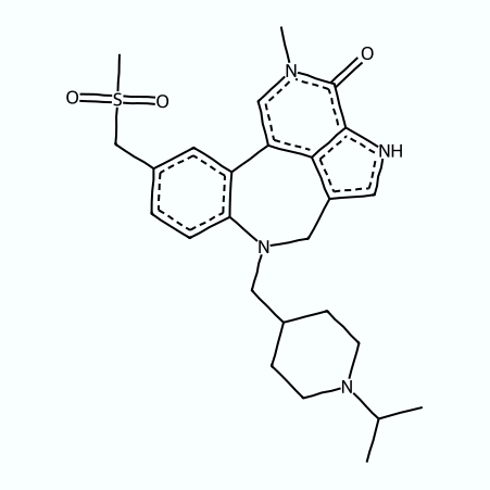 CC(C)N1CCC(CN2Cc3c[nH]c4c(=O)n(C)cc(c34)-c3cc(CS(C)(=O)=O)ccc32)CC1